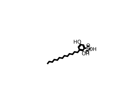 CCCCCCCCCCCCCc1cc(O)cc(S(=O)(=O)O)c1O